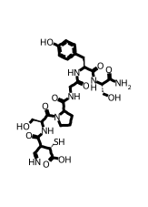 N=CC(C(=O)N[C@@H](CO)C(=O)N1CCCC1C(=O)NCC(=O)N[C@@H](Cc1ccc(O)cc1)C(=O)N[C@@H](CO)C(N)=O)[C@H](S)C(=O)O